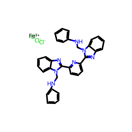 [Cl-].[Cl-].[Cl-].[Fe+3].c1ccc(NCn2c(-c3cccc(-c4nc5ccccc5n4CNc4ccccc4)n3)nc3ccccc32)cc1